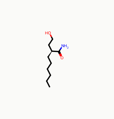 CCCCCC[C@@H](CCO)C(N)=O